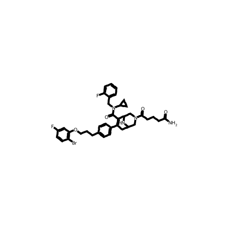 NC(=O)CCCC(=O)N1CC2CC(c3ccc(CCCOc4cc(F)ccc4Br)cc3)=C(C(=O)N(Cc3ccccc3F)C3CC3)C(C1)N2